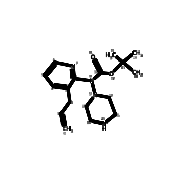 C=CCc1cccnc1N(C(=O)OC(C)(C)C)N1CCNCC1